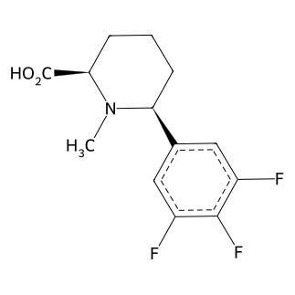 CN1[C@@H](C(=O)O)CCC[C@H]1c1cc(F)c(F)c(F)c1